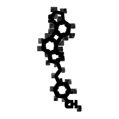 Cc1ccc(CCc2cc3ccc4c(c3s2)-c2ccc3c(c2-4)SCC3)cc1